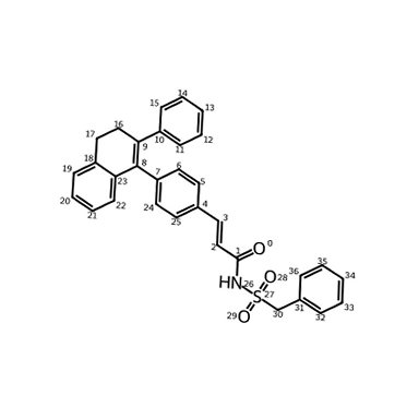 O=C(C=Cc1ccc(C2=C(c3ccccc3)CCc3ccccc32)cc1)NS(=O)(=O)Cc1ccccc1